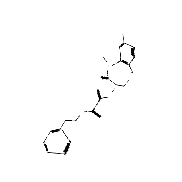 CN1C(=O)[C@H](NC(=O)C(=O)NCCc2ccccc2)COc2ccc(Br)cc21